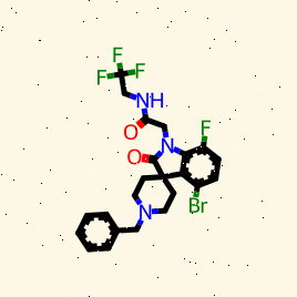 O=C(CN1C(=O)C2(CCN(Cc3ccccc3)CC2)c2c(Br)ccc(F)c21)NCC(F)(F)F